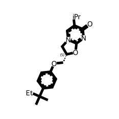 CCC(C)(C)c1ccc(OC[C@@H]2Cn3cc(C(C)C)c(=O)nc3O2)cc1